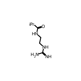 CC(C)C(=O)NCCNC(=N)N